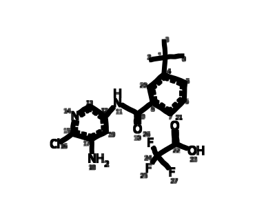 CC(C)(C)c1cccc(C(=O)Nc2cnc(Cl)c(N)c2)c1.O=C(O)C(F)(F)F